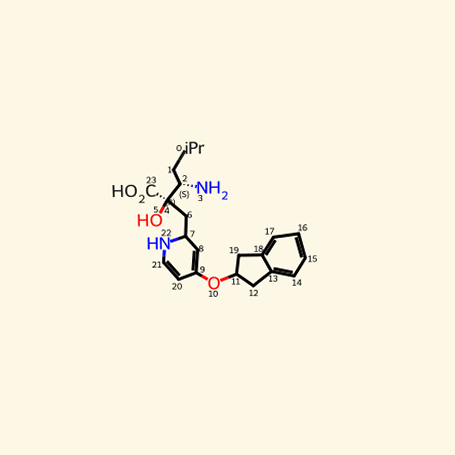 CC(C)C[C@H](N)[C@](O)(CC1C=C(OC2Cc3ccccc3C2)C=CN1)C(=O)O